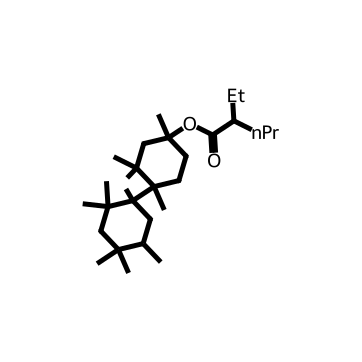 CCCC(CC)C(=O)OC1(C)CCC(C)(C2(C)CC(C)C(C)(C)CC2(C)C)C(C)(C)C1